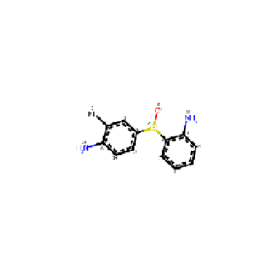 CCc1cc([S+]([O-])c2ccccc2N)ccc1N